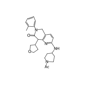 CC(=O)N1CCC(Nc2ccc3c(n2)C(C2CCOC2)C(=O)N(c2ccccc2C)C3)CC1